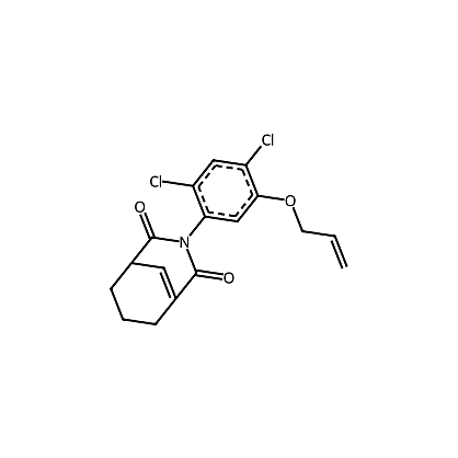 C=CCOc1cc(N2C(=O)C3=CC(CCC3)C2=O)c(Cl)cc1Cl